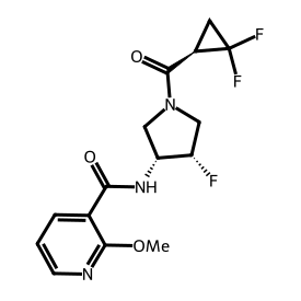 COc1ncccc1C(=O)N[C@@H]1CN(C(=O)[C@H]2CC2(F)F)C[C@@H]1F